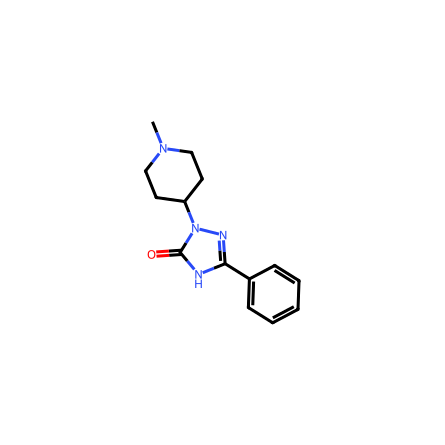 CN1CCC(n2nc(-c3ccccc3)[nH]c2=O)CC1